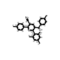 Cc1ccc(C(=O)c2cc(C#N)c(-c3ccc(C)cc3)nc2-c2c(C)cc(C)cc2C)cc1